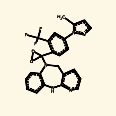 Cc1ccnn1-c1ccc(C2(N3Cc4cccnc4Nc4ccccc43)OO2)c(C(F)(F)F)c1